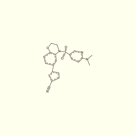 CN(C)c1ccc(S(=O)(=O)N2CCOc3ccc(-c4ccc(C#N)s4)cc32)cn1